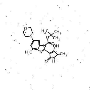 Cc1cc(N2CCOCC2)cc2c1nc(C1=C(O)[C@@H](C)NC1=O)n2C(=O)OC(C)(C)C